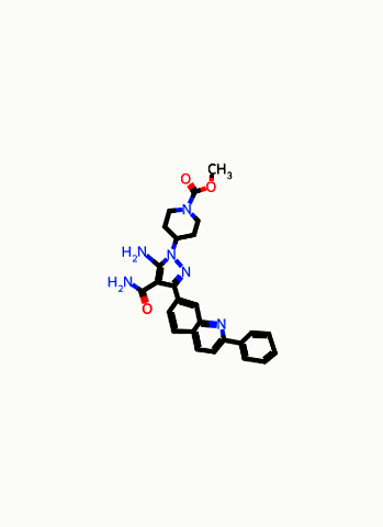 COC(=O)N1CCC(n2nc(-c3ccc4ccc(-c5ccccc5)nc4c3)c(C(N)=O)c2N)CC1